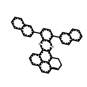 C1=c2ccc3cccc4c5nc6c(-c7ccc8ccccc8c7)ccc(-c7ccc8ccccc8c7)c6nc5c(c2c34)CC1